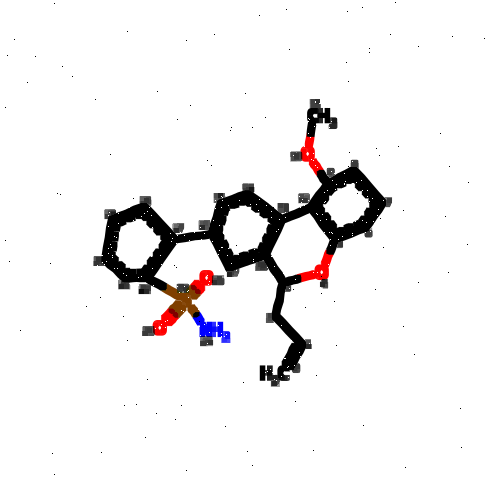 C=CCC1Oc2cccc(OC)c2-c2ccc(-c3ccccc3S(N)(=O)=O)cc21